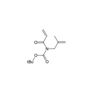 C=CC(=O)N(CC(=C)C)C(=O)OC(C)(C)C